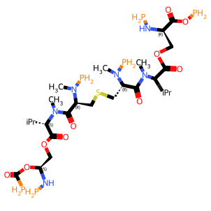 CC(C)C(C(=O)OC[C@@H](NP)C(=O)OP)N(C)C(=O)[C@H](CSC[C@@H](C(=O)N(C)[C@H](C(=O)OC[C@@H](NP)OC(=O)P)C(C)C)N(C)P)N(C)P